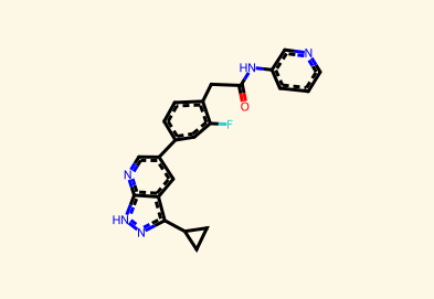 O=C(Cc1ccc(-c2cnc3[nH]nc(C4CC4)c3c2)cc1F)Nc1cccnc1